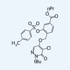 CCCOC(=O)c1ccc(COc2cnn(C(C)(C)C)c(=O)c2Cl)c(OS(=O)(=O)c2ccc(C)cc2)c1